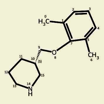 Cc1cccc(C)c1OC[C@H]1CCCNC1